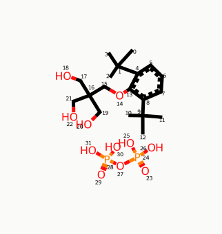 CC(C)(C)c1cccc(C(C)(C)C)c1OCC(CO)(CO)CO.O=P(O)(O)OP(=O)(O)O